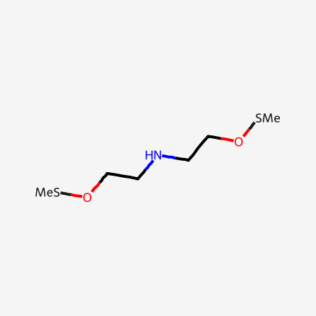 CSOCCNCCOSC